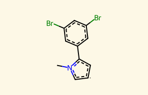 Cn1c[c]cc1-c1cc(Br)cc(Br)c1